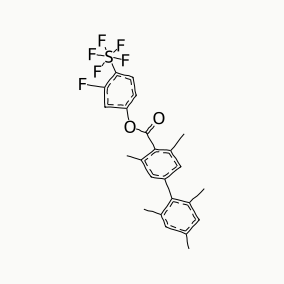 Cc1cc(C)c(-c2cc(C)c(C(=O)Oc3ccc(S(F)(F)(F)(F)F)c(F)c3)c(C)c2)c(C)c1